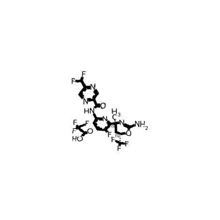 C[C@@]1(c2nc(NC(=O)c3cnc(C(F)F)cn3)ccc2F)C[C@@H](C(F)(F)F)OC(N)=N1.O=C(O)C(F)(F)F